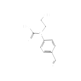 CCCN(C(=O)O)c1ccc([C]=O)cc1